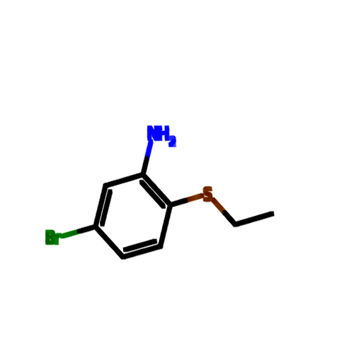 CCSc1ccc(Br)cc1N